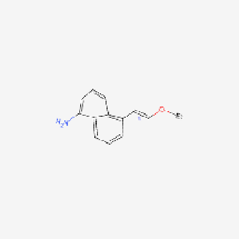 CCO/C=C/c1cccc2c(N)cccc12